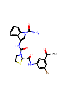 COC(=O)c1cc(Br)cc(NC(=O)[C@@H]2SCCN2C(=O)Nc2cn(C(N)=O)c3ccccc23)c1